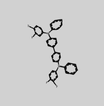 Fc1ccc(N(c2ccccc2)c2ccc(-c3ccc(N(c4ccccc4)c4ccc(F)c(F)c4)cc3)cc2)cc1F